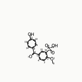 COc1ccc(C(=O)c2ccc(O)cc2)cc1S(=O)(=O)O